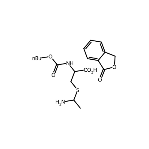 CCCCOC(=O)NC(CSC(C)N)C(=O)O.O=C1OCc2ccccc21